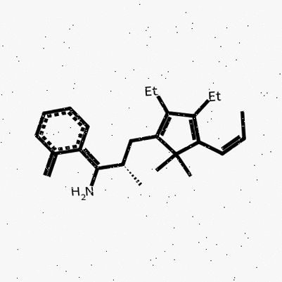 C=c1cccc/c1=C(/N)[C@@H](C)CC1=C(CC)C(CC)=C(/C=C\C)C1(C)C